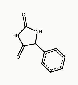 O=C1NC(=O)C(c2ccccc2)N1